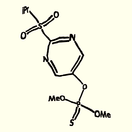 COP(=S)(OC)Oc1cnc(S(=O)(=O)C(C)C)nc1